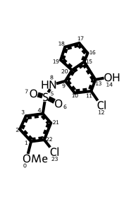 COc1ccc(S(=O)(=O)Nc2cc(Cl)c(O)c3ccccc23)cc1Cl